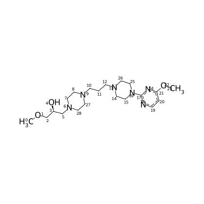 COC[C@@H](O)CN1CCN(CCCN2CCN(c3nccc(OC)n3)CC2)CC1